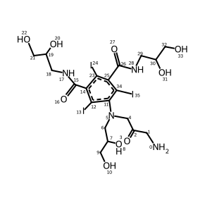 NCC(=O)CN(CC(O)CO)c1c(I)c(C(=O)NCC(O)CO)c(I)c(C(=O)NCC(O)CO)c1I